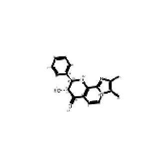 Cc1nc2c3c(ccn2c1C)C(=O)[C@H](O)[C@@H](c1ccccc1)O3